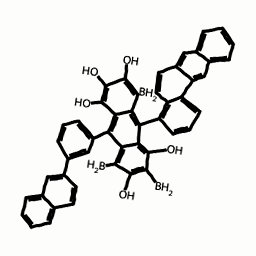 Bc1c(O)c(B)c2c(-c3cccc(-c4ccc5ccccc5c4)c3)c3c(O)c(O)c(O)c(B)c3c(-c3cccc4c3ccc3cc5ccccc5cc34)c2c1O